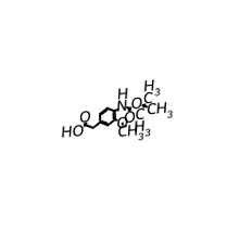 COc1cc(CC(=O)O)ccc1NC(=O)OC(C)(C)C